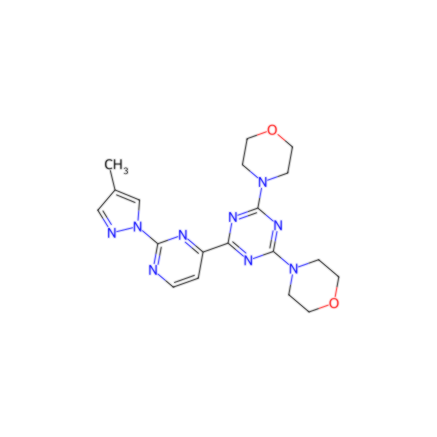 Cc1cnn(-c2nccc(-c3nc(N4CCOCC4)nc(N4CCOCC4)n3)n2)c1